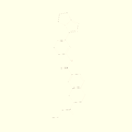 C[C@@H]1CCc2nnc(-c3cccc(NC(=O)c4cc5c(cn4)CCN(C(=O)CCO)C5)n3)n21